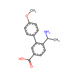 COc1ccc(-c2cc(C(=O)O)ccc2C(C)N)cc1